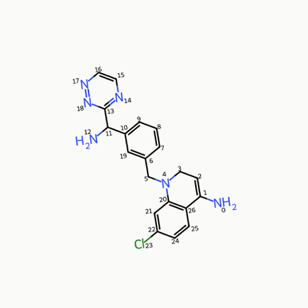 NC1=CCN(Cc2cccc(C(N)c3nccnn3)c2)c2cc(Cl)ccc21